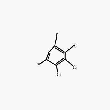 Fc1cc(F)c(Br)c(Cl)c1Cl